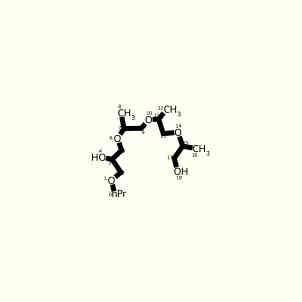 CCCOCC(O)COC(C)COC(C)COC(C)CO